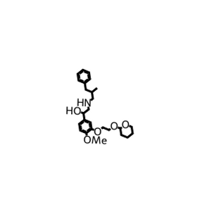 COc1ccc(C(O)CNCC(C)Cc2ccccc2)cc1OCCOC1CCCCO1